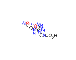 CN(C)C(=O)Cc1ccc(NC(=O)c2cn([C@@H]3CCCN(C(=O)O)C3)c3ncnc(N)c23)cc1